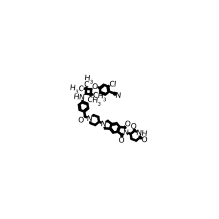 CC1(C)[C@H](Nc2ccc(C(=O)N3CCC(N4Cc5cc6c(cc5C4)C(=O)N(C4CCC(=O)NC4=O)C6=O)CC3)cc2)C(C)(C)[C@H]1Oc1ccc(C#N)c(Cl)c1